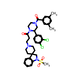 Cc1cc(C)cc(C(=O)N2CCN(C(=O)CCN3CCC4(CC3)CN(S(C)(=O)=O)c3ccccc34)C(c3ccc(Cl)c(Cl)c3)C2)c1